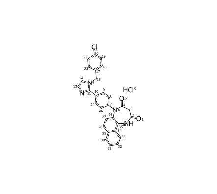 Cl.O=C1CC(=O)N(c2ccc(-c3nccn3Cc3ccc(Cl)cc3)cc2)c2ccc3ccccc3c2N1